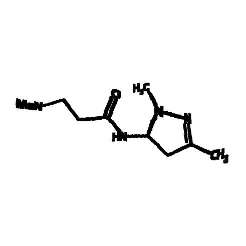 CNCCC(=O)NC1CC(C)=NN1C